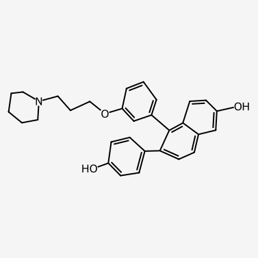 Oc1ccc(-c2ccc3cc(O)ccc3c2-c2cccc(OCCCN3CCCCC3)c2)cc1